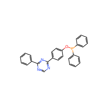 [c]1nc(-c2ccccc2)nc(-c2ccc(OP(c3ccccc3)c3ccccc3)cc2)n1